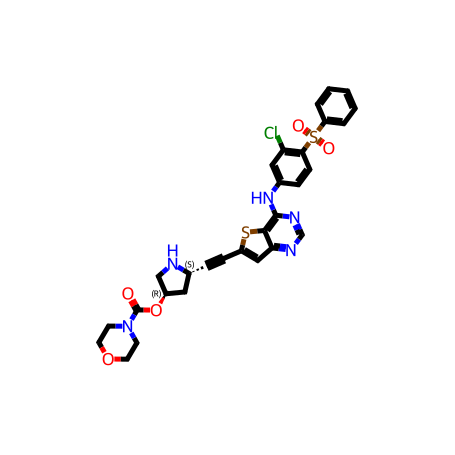 O=C(O[C@H]1CN[C@H](C#Cc2cc3ncnc(Nc4ccc(S(=O)(=O)c5ccccc5)c(Cl)c4)c3s2)C1)N1CCOCC1